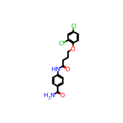 NC(=O)c1ccc(NC(=O)CCCOc2ccc(Cl)cc2Cl)cc1